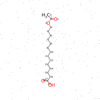 CC(=O)OCCCCCCCCCCCCCC(=O)O